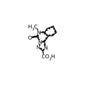 Cn1c(=O)n2nc(C(=O)O)nc2c2ccccc21